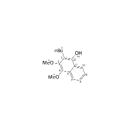 CCCCc1c(OC)c(OC)c2ccccc2c1O